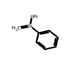 C=[Si](CCC)c1ccccc1